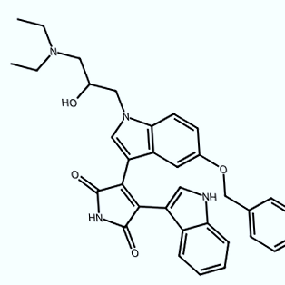 CCN(CC)CC(O)Cn1cc(C2=C(c3c[nH]c4ccccc34)C(=O)NC2=O)c2cc(OCc3ccccc3)ccc21